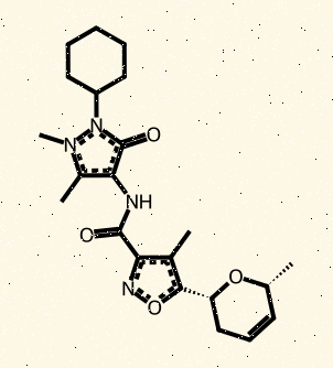 Cc1c(C(=O)Nc2c(C)n(C)n(C3CCCCC3)c2=O)noc1[C@H]1CC=C[C@@H](C)O1